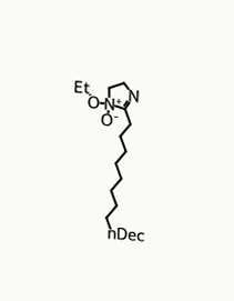 CCCCCCCCCCCCCCCCCCC1=NCC[N+]1([O-])OCC